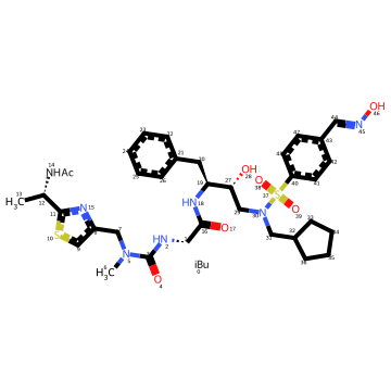 CC[C@H](C)[C@H](NC(=O)N(C)Cc1csc([C@H](C)NC(C)=O)n1)C(=O)N[C@@H](Cc1ccccc1)[C@H](O)CN(CC1CCCC1)S(=O)(=O)c1ccc(C=NO)cc1